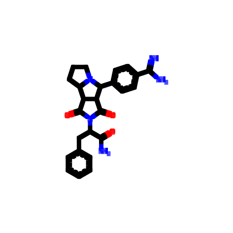 N=C(N)c1ccc(C2C3C(=O)N(C(Cc4ccccc4)C(N)=O)C(=O)C3C3CCCN32)cc1